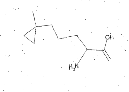 C=C(O)C(N)CCCC1(C)CC1